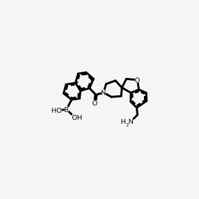 NCc1ccc2c(c1)C1(CCN(C(=O)c3cccc4ccc(B(O)O)cc34)CC1)CO2